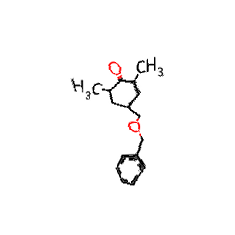 CC1CC(COCc2ccccc2)CC(C)C1=O